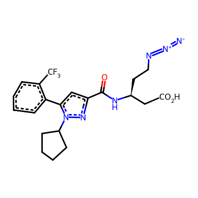 [N-]=[N+]=NCC[C@@H](CC(=O)O)NC(=O)c1cc(-c2ccccc2C(F)(F)F)n(C2CCCC2)n1